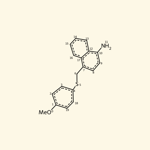 COc1ccc(SCc2ccc(N)c3ccccc23)cc1